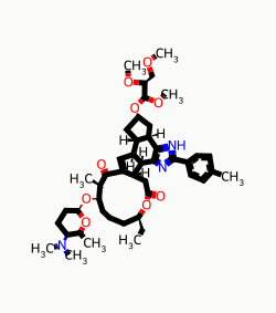 CC[C@H]1CCC[C@H](O[C@H]2CC[C@H](N(C)C)C(C)O2)[C@@H](C)C(=O)C2=C[C@H]3[C@@H]4C[C@H](OC(OC)[C@H](COC)OC)C[C@H]4c4[nH]c(-c5ccc(C)cc5)nc4[C@H]3[C@@H]2CC(=O)O1